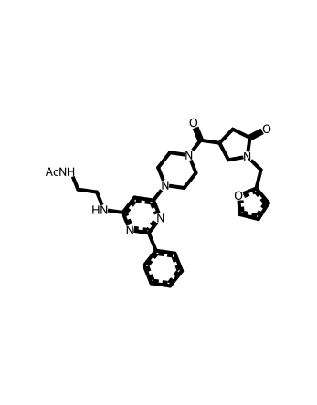 CC(=O)NCCNc1cc(N2CCN(C(=O)C3CC(=O)N(Cc4ccco4)C3)CC2)nc(-c2ccccc2)n1